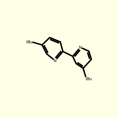 CC(C)(C)c1ccc(-c2cc(C(C)(C)C)ccn2)nc1